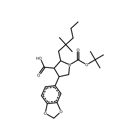 CCCC(C)(C)CC1C(C(=O)O)C(c2ccc3c(c2)OCO3)CN1C(=O)OC(C)(C)C